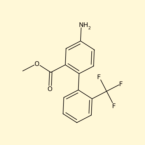 COC(=O)c1cc(N)ccc1-c1ccccc1C(F)(F)F